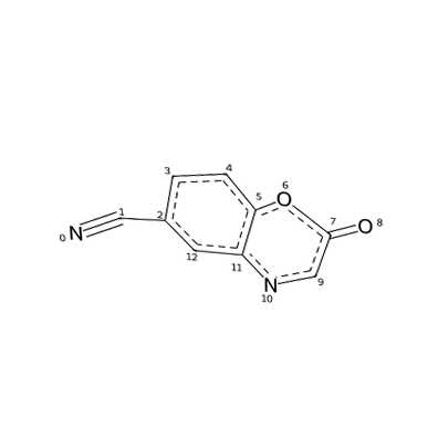 N#Cc1ccc2oc(=O)cnc2c1